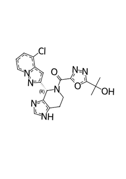 CC(C)(O)c1nnc(C(=O)N2CCc3[nH]cnc3[C@@H]2c2cc3c(Cl)cccn3n2)o1